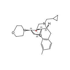 Cc1ccc2c(c1)[C@]13CCN(CC4CC4)[C@H](C2)[C@]12CC[C@@](N1CCOCC1)(CO2)C3